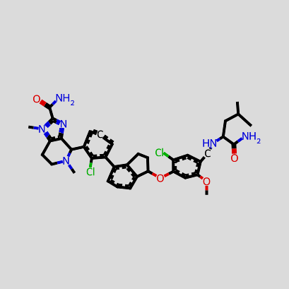 COc1cc(OC2CCc3c(-c4cccc(C5c6nc(C(N)=O)n(C)c6CCN5C)c4Cl)cccc32)c(Cl)cc1CNC(CC(C)C)C(N)=O